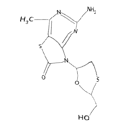 Cc1nc(N)nc2c1sc(=O)n2C1CSC(CO)O1